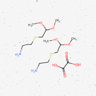 COC(CSCCN)OC.COC(CSCCN)OC.O=C(O)C(=O)O